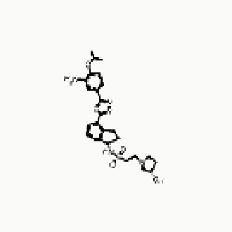 CC(C)Oc1ccc(-c2nnc(-c3cccc4c3CC[C@@H]4NS(=O)(=O)CCN3CC[C@H](O)C3)s2)cc1N